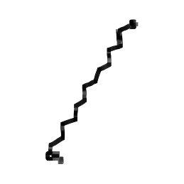 CCCCCCCCCCCCC=C[S]